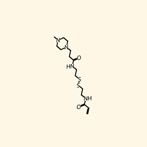 C=CC(=O)NCCSSCCNC(=O)CCN1CCN(C)CC1